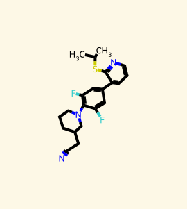 CC(C)Sc1ncccc1-c1cc(F)c(N2CCCC(CC#N)C2)c(F)c1